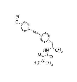 CCOc1ccc(C#Cc2ccc(CC(C)NC(=O)C(=O)N(C)C)cc2)cc1